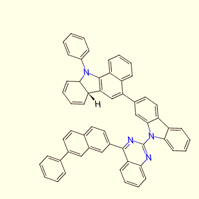 C1=CC2[C@@H](C=C1)c1cc(-c3ccc4c5ccccc5n(-c5nc(-c6ccc7ccc(-c8ccccc8)cc7c6)c6ccccc6n5)c4c3)c3ccccc3c1N2c1ccccc1